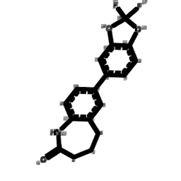 O=C1CCCc2cc(-c3ccc4c(c3)OC(F)(F)O4)ccc2N1